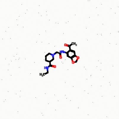 CCNC(=O)C1CCCN(CC(=O)Nc2cc3c(cc2C(C)=O)OCO3)C1